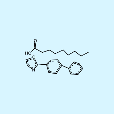 CCCCCCCCC(=O)O.c1ccc(-c2ccc(-c3ncco3)cc2)cc1